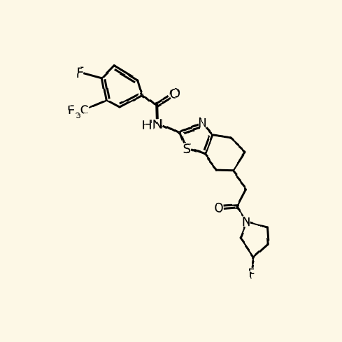 O=C(Nc1nc2c(s1)CC(CC(=O)N1CCC(F)C1)CC2)c1ccc(F)c(C(F)(F)F)c1